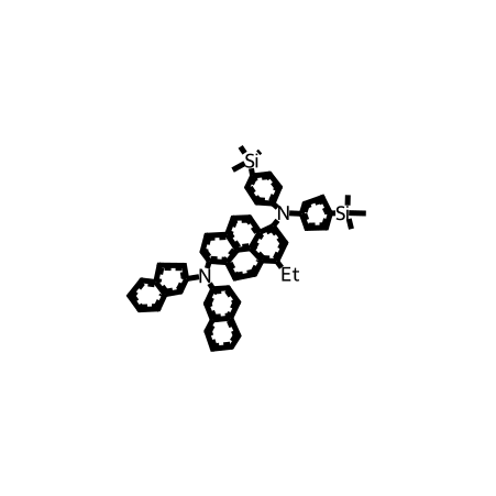 CCc1cc(N(c2ccc([Si](C)(C)C)cc2)c2ccc([Si](C)(C)C)cc2)c2ccc3ccc(N(c4ccc5ccccc5c4)c4ccc5ccccc5c4)c4ccc1c2c34